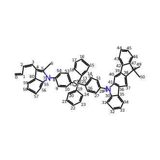 C=C/C=C\c1c(C)n(-c2ccc([Si](c3ccccc3)(c3ccccc3)c3ccc(-n4c5ccccc5c5cc6c(cc54)-c4ccccc4C6(C)C)cc3)cc2)c2ccccc12